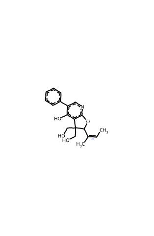 C/C=C(/C)C1Oc2ncc(-c3ccccc3)c(O)c2C1(CO)CO